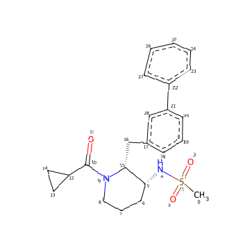 CS(=O)(=O)N[C@@H]1CCCN(C(=O)C2CC2)[C@@H]1Cc1cccc(-c2ccccc2)c1